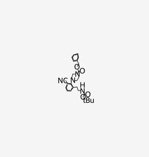 CC(C)(C)OC(=O)NCCc1cccc(C#N)c1N1CCN(C(=O)OCc2ccccc2)CC1